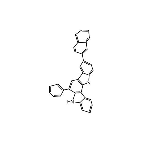 c1ccc(-c2cc3c4cc(-c5ccc6ccccc6c5)ccc4sc3c3c2[nH]c2ccccc23)cc1